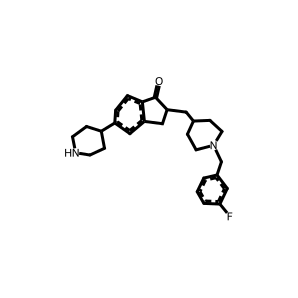 O=C1c2ccc(C3CCNCC3)cc2CC1CC1CCN(Cc2cccc(F)c2)CC1